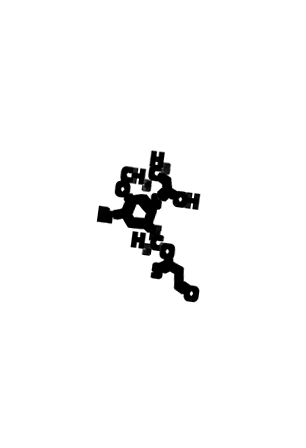 CCC(O)=S.COC(=S)CC=O.COc1ccc(F)cc1Br